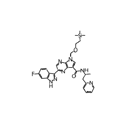 CC(Cc1ccccn1)NC(=O)c1cn(COCC[Si](C)(C)C)c2ncc(-c3n[nH]c4cc(F)ccc34)nc12